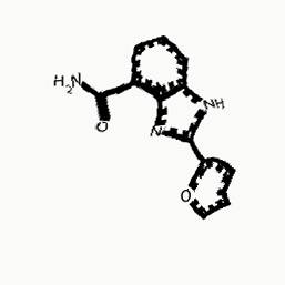 NC(=O)c1cccc2[nH]c(-c3ccco3)nc12